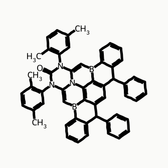 Cc1ccc(C)c(N2C(=O)N(c3cc(C)ccc3C)C3=CB4c5ccccc5C(c5ccccc5)c5cc6c7c(c54)N3C2=CB7c2ccccc2C6c2ccccc2)c1